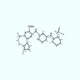 COc1cc2c(cc1Nc1nccc(Nc3ccccc3P(C)(C)=O)n1)-c1cnn(C)c1CCN2C